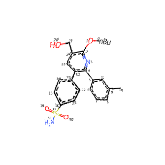 CCCCOc1nc(-c2cccc(C)c2)c(-c2ccc(S(N)(=O)=O)cc2)cc1CO